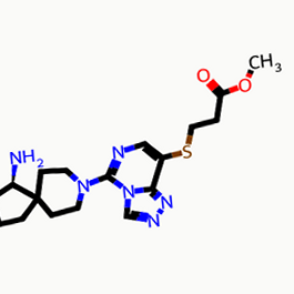 COC(=O)CCSc1cnc(N2CCC3(CCC[C@H]3N)CC2)n2cnnc12